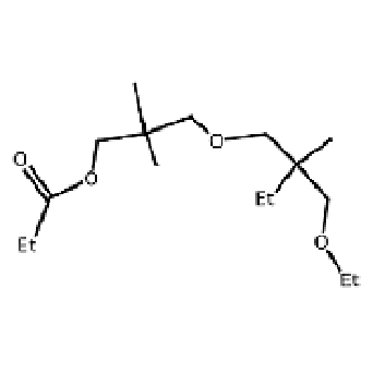 CCOCC(C)(CC)COCC(C)(C)COC(=O)CC